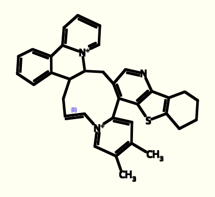 Cc1cc2[n+](cc1C)/C=C/CC1c3ccccc3-c3cccc[n+]3C1Cc1cnc3c4c(sc3c1-2)CCCC4